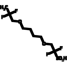 CC(F)(F)COCCCCOCC(F)(F)S(=O)(=O)O